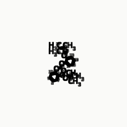 CC(C)(C)OOc1ccccc1OC(=O)Oc1ccccc1OOC(C)(C)C